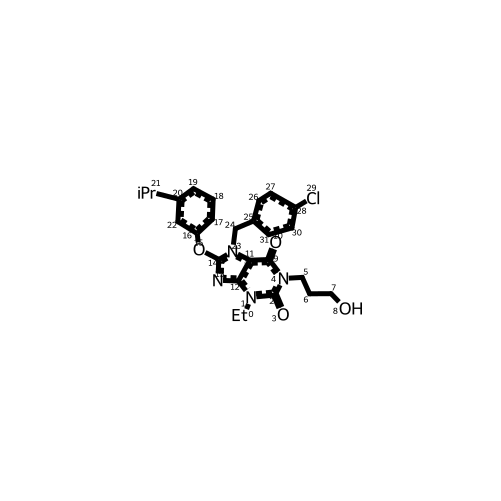 CCn1c(=O)n(CCCO)c(=O)c2c1nc(Oc1cccc(C(C)C)c1)n2Cc1ccc(Cl)cc1